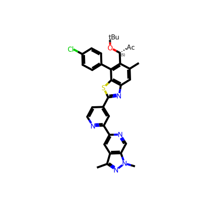 CC(=O)[C@@H](OC(C)(C)C)c1c(C)cc2nc(-c3ccnc(-c4cc5c(C)nn(C)c5cn4)c3)sc2c1-c1ccc(Cl)cc1